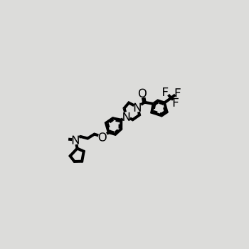 CN(CCCOc1ccc(N2CCN(C(=O)c3cccc(C(F)(F)F)c3)CC2)cc1)C1CCCC1